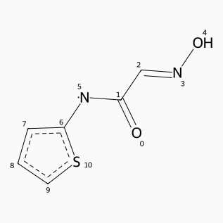 O=C(C=NO)[N]c1cccs1